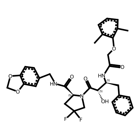 Cc1cccc(C)c1OCC(=O)N[C@@H](Cc1ccccc1)[C@H](O)C(=O)N1CC(F)(F)C[C@H]1C(=O)NCc1ccc2c(c1)OCO2